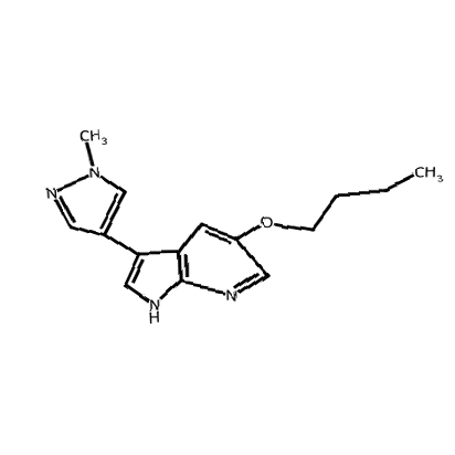 CCCCOc1cnc2[nH]cc(-c3cnn(C)c3)c2c1